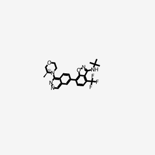 C[C@H]1COCCN1c1nncc2cc(-c3ccc(C(F)(F)F)c4c(NC(C)(C)C)noc34)ccc12